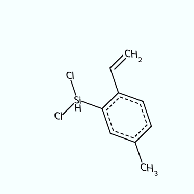 C=Cc1ccc(C)cc1[SiH](Cl)Cl